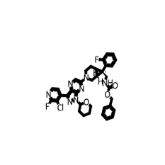 O=C(NC[C@]1(c2ccccc2F)[C@@H]2CCN(c3cnc4c(-c5ccnc(F)c5Cl)nn(C5CCCCO5)c4n3)C[C@@H]21)OCc1ccccc1